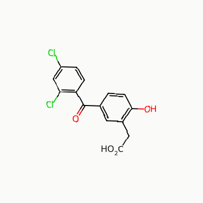 O=C(O)Cc1cc(C(=O)c2ccc(Cl)cc2Cl)ccc1O